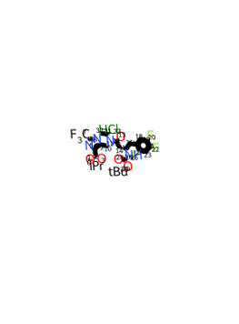 CC(C)OC(=O)c1nc(C(F)(F)F)n2c1CN(C(=O)C[C@@H](Cc1cc(F)c(F)cc1F)NC(=O)OC(C)(C)C)CC2.Cl